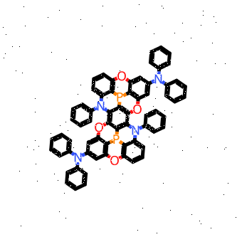 c1ccc(N(c2ccccc2)c2cc3oc4cccc5c4p4c3c(c2)oc2c3c6c(oc7cc(N(c8ccccc8)c8ccccc8)cc8oc9cccc(c9p6c87)n3-c3ccccc3)c(c24)n5-c2ccccc2)cc1